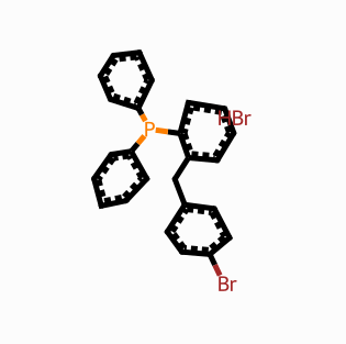 Br.Brc1ccc(Cc2ccccc2P(c2ccccc2)c2ccccc2)cc1